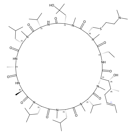 C/C=C/C[C@@H](C)[C@@H](O)[C@H]1C(=O)N[C@@H](CC)C(=O)N(C)[C@@H](CSCCN(C)C)C(=O)N(C)[C@@H](CC(C)(C)O)C(=O)N[C@@H](C(C)C)C(=O)N(C)[C@@H](CC(C)C)C(=O)N[C@@H](C)C(=O)N[C@H](C)C(=O)N(C)[C@@H](CC(C)C)C(=O)N(C)[C@@H](CC(C)C)C(=O)N(C)[C@@H](C(C)C)C(=O)N1C